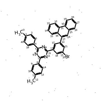 Cc1ccc(-c2nc(-c3ccc(C)cc3)nc(-c3cc(Br)cc(-c4cc5ccccc5c5ccccc45)c3)n2)cc1